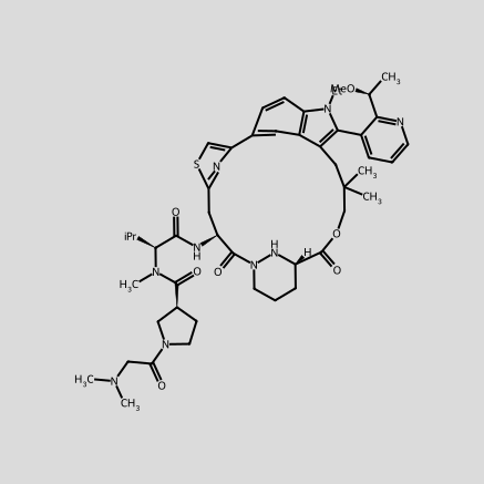 CCn1c(-c2cccnc2[C@H](C)OC)c2c3cc(ccc31)-c1csc(n1)C[C@H](NC(=O)[C@H](C(C)C)N(C)C(=O)[C@H]1CCN(C(=O)CN(C)C)C1)C(=O)N1CCC[C@H](N1)C(=O)OCC(C)(C)C2